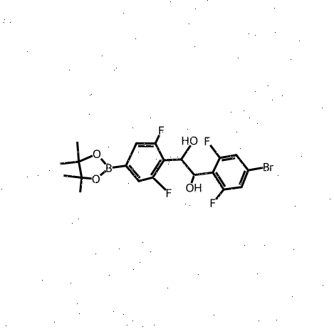 CC1(C)OB(c2cc(F)c(C(O)C(O)c3c(F)cc(Br)cc3F)c(F)c2)OC1(C)C